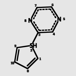 C1=C[SH](c2cnccn2)C=C1